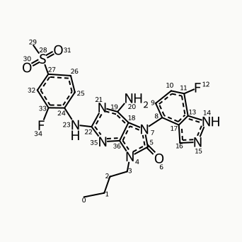 CCCCn1c(=O)n(-c2ccc(F)c3[nH]ncc23)c2c(N)nc(Nc3ccc(S(C)(=O)=O)cc3F)nc21